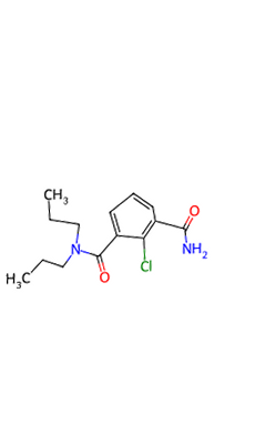 CCCN(CCC)C(=O)c1cccc(C(N)=O)c1Cl